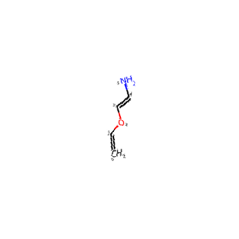 C=COC=CN